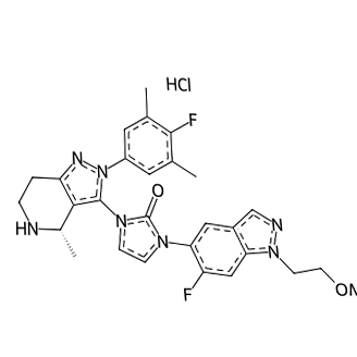 COCCn1ncc2cc(-n3ccn(-c4c5c(nn4-c4cc(C)c(F)c(C)c4)CCN[C@H]5C)c3=O)c(F)cc21.Cl